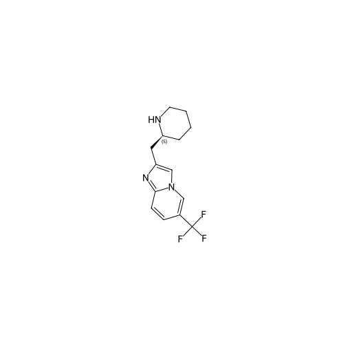 FC(F)(F)c1ccc2nc(C[C@@H]3CCCCN3)cn2c1